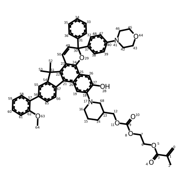 C=C(C)C(=O)OCCOC(=O)OCC1CCCN(c2cc3c4c(c5c(c3cc2O)OC(c2ccccc2)(c2ccc(N3CCOCC3)cc2)C=C5)C(C)(C)c2cc(-c3ccccc3OC)ccc2-4)C1